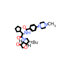 CN1CCN(c2ccc(C(=O)N[C@H](C(=O)N3C[C@H](C(C)(C)C)[C@H]4OCC(=O)[C@H]43)C3CCCC3)cc2)CC1